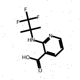 CC(C)(Nc1ncccc1C(=O)O)C(F)(F)F